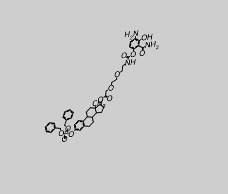 CC12CCC3c4ccc(OP(=O)(OCc5ccccc5)OCc5ccccc5)cc4CCC3C1CCC2OC(=O)COCCOCCNC(=O)Oc1ccc(N)c(O)c1C(N)=O